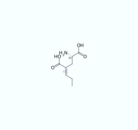 CC/C=C(\C[C@H](N)C(=O)O)C(=O)O